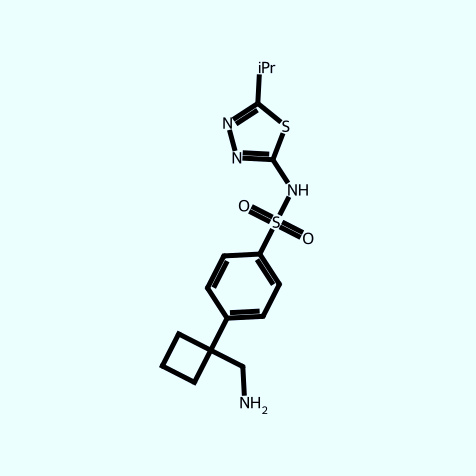 CC(C)c1nnc(NS(=O)(=O)c2ccc(C3(CN)CCC3)cc2)s1